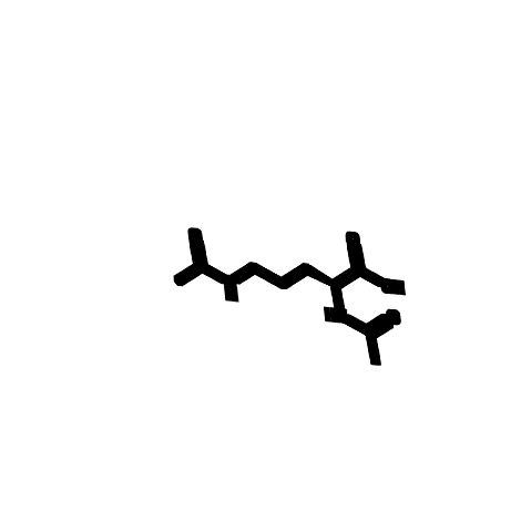 CC(=O)NCCC[C@H](NC(C)=O)C(=O)O